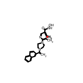 C=C(c1ccc2ccccc2c1)N1CCN(C(/N=C\C(=C/C)C(=O)NO)=C(C)C)CC1